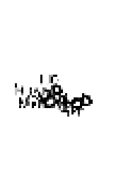 CO[C@]12CC[C@H](N(CC(C)C)C(=O)c3ccc4ccccc4c3)C[C@]1(c1cccc(O)c1)CCN(C)C2